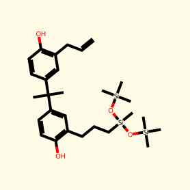 C=CCc1cc(C(C)(C)c2ccc(O)c(CCC[Si](C)(O[Si](C)(C)C)O[Si](C)(C)C)c2)ccc1O